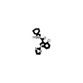 O=C(NCC1(O)CCCCC1)c1cn(-c2ncccn2)c2cccc(Cl)c12